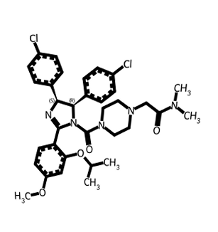 COc1ccc(C2=N[C@@H](c3ccc(Cl)cc3)[C@@H](c3ccc(Cl)cc3)N2C(=O)N2CCN(CC(=O)N(C)C)CC2)c(OC(C)C)c1